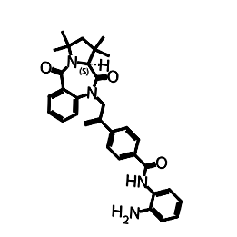 C=C(CN1C(=O)[C@H]2N(C(=O)c3ccccc31)C(C)(C)CC2(C)C)c1ccc(C(=O)Nc2ccccc2N)cc1